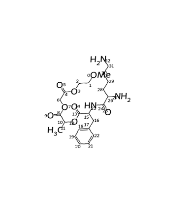 COCCOC(=O)COC(=O)C(C)OC(=O)C(Cc1ccccc1)NC(=O)C(N)CCCCN